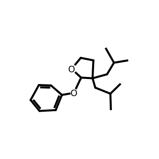 CC(C)CC1(CC(C)C)CCO[C]1Oc1ccccc1